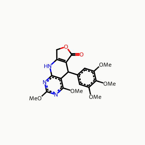 COc1nc2c(c(OC)n1)C(c1cc(OC)c(OC)c(OC)c1)C1=C(COC1=O)N2